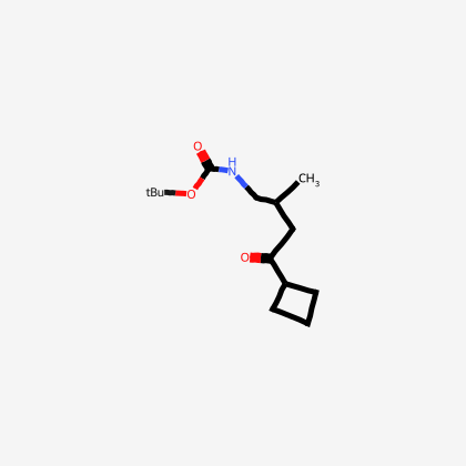 CC(CNC(=O)OC(C)(C)C)CC(=O)C1CCC1